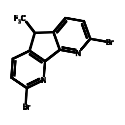 FC(F)(F)C1c2ccc(Br)nc2-c2nc(Br)ccc21